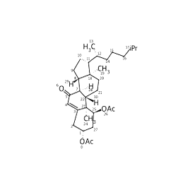 CC(=O)O[C@@H]1CC2=CC(=O)[C@H]3[C@@H]4CC[C@H]([C@H](C)CCCC(C)C)[C@@]4(C)CC[C@@H]3[C@@]2(C)[C@@H](OC(C)=O)C1